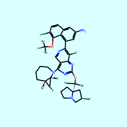 [2H]C([2H])(F)Oc1c(F)ccc2cc(N)cc(-c3ncc4c(N5CCCC[C@H]6[C@H](F)[C@H]65)nc(OC([2H])([2H])[C@@]56CCCN5C[C@H](F)C6)nc4c3F)c12